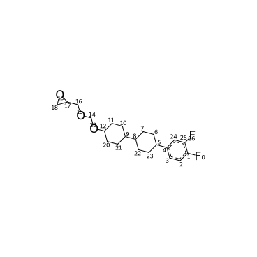 Fc1ccc(C2CCC(C3CCC(OCOCC4CO4)CC3)CC2)cc1F